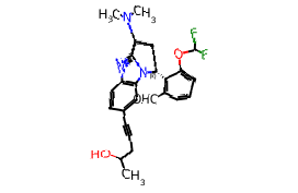 CC(O)CC#Cc1ccc2nc3n(c2c1)[C@@H](c1c(C=O)cccc1OC(F)F)CC3N(C)C